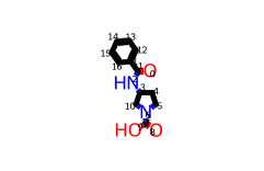 O=C(NC1CCN(C(=O)O)C1)c1ccccc1